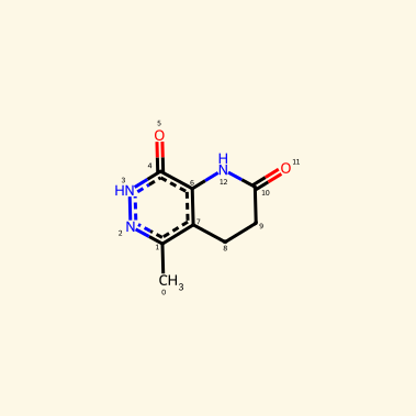 Cc1n[nH]c(=O)c2c1CCC(=O)N2